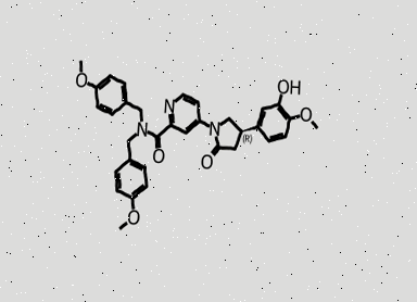 COc1ccc(CN(Cc2ccc(OC)cc2)C(=O)c2cc(N3C[C@@H](c4ccc(OC)c(O)c4)CC3=O)ccn2)cc1